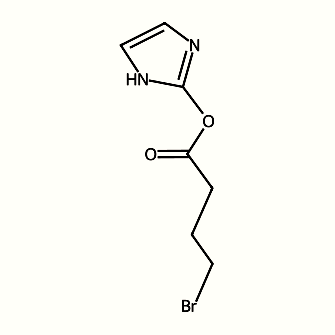 O=C(CCCBr)Oc1ncc[nH]1